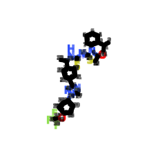 CC(C)c1ccccc1N1C(=O)CS/C1=N\C(=S)NC(C)c1ccc(-c2ncn(-c3ccc(OC(F)(F)F)cc3)n2)cc1